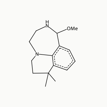 COC1NCCN2CCC(C)(C)c3cccc1c32